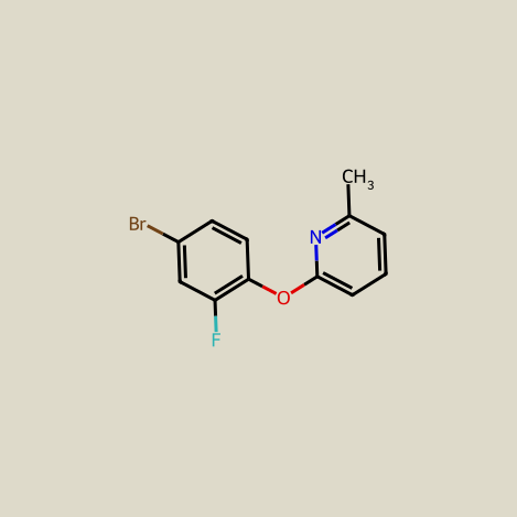 Cc1cccc(Oc2ccc(Br)cc2F)n1